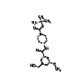 COc1cc(CO)cc(C(=O)NC2CCN(C(=O)OC(C)(C)C)CC2)c1